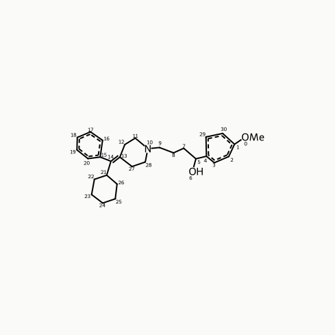 COc1ccc(C(O)CCCN2CCC(=C(c3ccccc3)C3CCCCC3)CC2)cc1